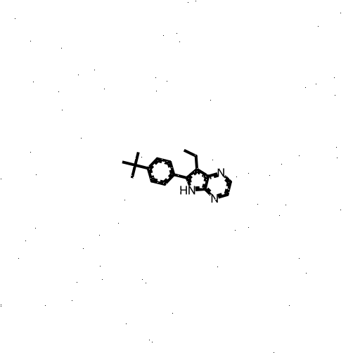 CCc1c(-c2ccc(C(C)(C)C)cc2)[nH]c2nccnc12